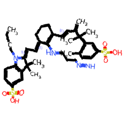 C=C(/C=C/C1=C(NCCCN=N)C(=C/C=C2/N(CCCC)c3ccc(S(=O)(=O)O)cc3C2(C)C)/CCC1)C(C)(C)c1cc(S(=O)(=O)O)ccc1C